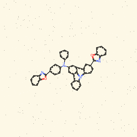 c1ccc(N(c2ccc(-c3nc4ccccc4o3)cc2)c2cc3c4ccccc4n4c5ccc(-c6nc7ccccc7o6)cc5c(c2)c34)cc1